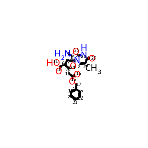 Cc1cn([C@@]2(CN)C[C@H](C(=O)O)[C@@H](CC(=O)OCc3ccccc3)O2)c(=O)[nH]c1=O